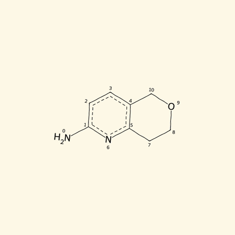 Nc1ccc2c(n1)CCOC2